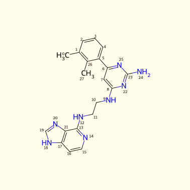 Cc1cccc(-c2cc(NCCNc3nccc4[nH]cnc34)nc(N)n2)c1C